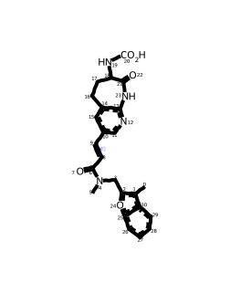 Cc1c(CN(C)C(=O)/C=C/c2cnc3c(c2)CCC(NC(=O)O)C(=O)N3)oc2ccccc12